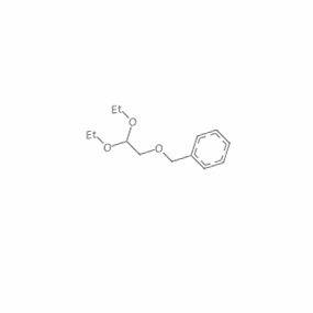 CCOC(COCc1ccccc1)OCC